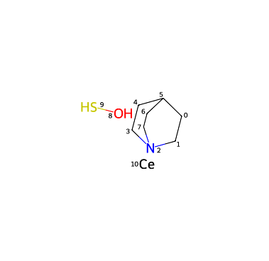 C1CN2CCC1CC2.OS.[Ce]